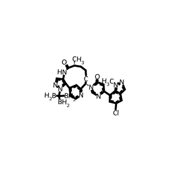 BC(B)(B)n1ncc2c1-c1ccnc(c1)[C@@H](n1cnc(-c3cc(Cl)cc4cnn(C)c34)cc1=O)CCC[C@@H](C)C(=O)N2